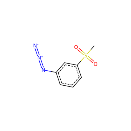 CS(=O)(=O)c1cccc(N=[N+]=[N-])c1